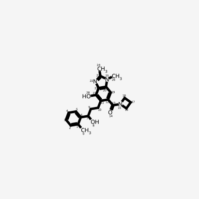 Cc1ccccc1C(O)CCc1c(C(=O)N2CCC2)cc2c(nc(C)n2C)c1O